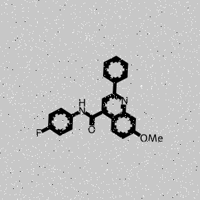 COc1ccc2c(C(=O)Nc3ccc(F)cc3)cc(-c3ccccc3)nc2c1